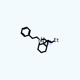 CC/C=C/[C@@H]1C2CCCC1N(CCc1ccccc1)CC2